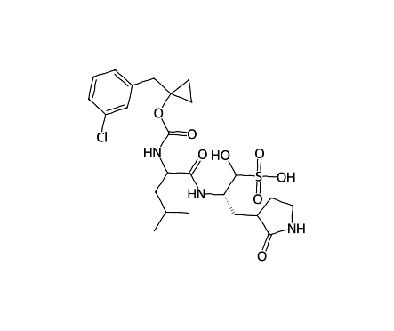 CC(C)CC(NC(=O)OC1(Cc2cccc(Cl)c2)CC1)C(=O)N[C@@H](CC1CCNC1=O)C(O)S(=O)(=O)O